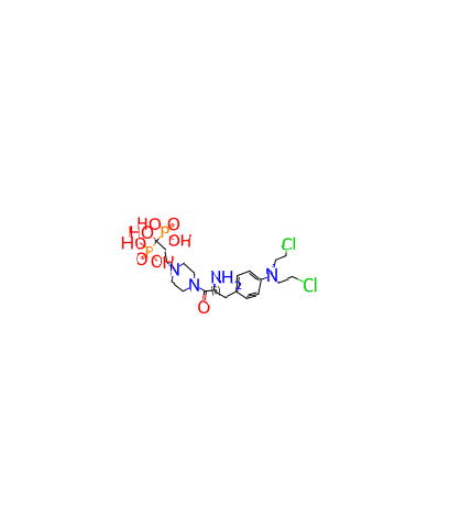 N[C@@H](Cc1ccc(N(CCCl)CCCl)cc1)C(=O)N1CCN(CCC(O)(P(=O)(O)O)P(=O)(O)O)CC1